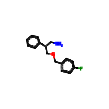 NCC(COCc1ccc(F)cc1)c1ccccc1